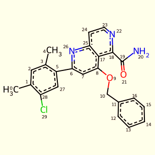 Cc1cc(C)c(-c2cc(OCc3ccccc3)c3c(C(N)=O)nccc3n2)cc1Cl